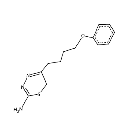 NC1=NN=C(CCCCOc2ccccc2)CS1